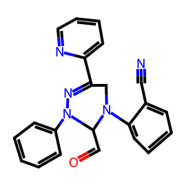 N#Cc1ccccc1N1CC(c2ccccn2)=NN(c2ccccc2)C1C=O